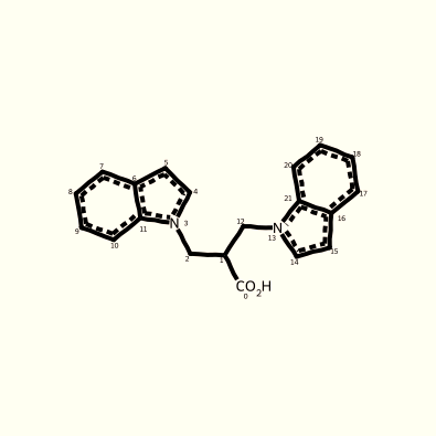 O=C(O)C(Cn1ccc2ccccc21)Cn1ccc2ccccc21